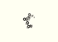 Cn1ncc2c(-c3ccc(-n4c(=O)n(CC(=O)N5CCCC5C(F)(F)F)c5ccccc54)cn3)cncc21